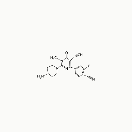 C#Cc1c(-c2ccc(C#N)c(F)c2)nc(N2CCC(N)CC2)n(C)c1=O